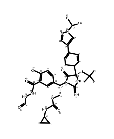 CC(C)(C)C[C@]1(C2C=CC(c3cnn(C(F)F)c3)=CC2)NC(=N)N([C@H](COC(=O)NC2CC2)c2ccc(Cl)c(C(=O)NNC=O)c2)C1=O